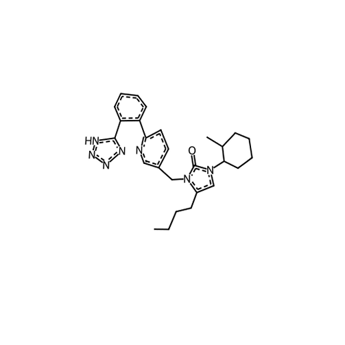 CCCCc1cn(C2CCCCC2C)c(=O)n1Cc1ccc(-c2ccccc2-c2nnn[nH]2)nc1